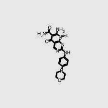 CCn1c(N)c(C(N)=O)c(=O)c2cnc(Nc3ccc(N4CCOCC4)cc3)nc21